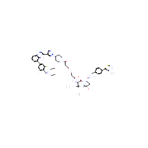 Cc1ncsc1-c1ccc(CNC(=O)[C@@H]2C[C@@H](O)CN2C(=O)C(NC(=O)CCOCCC(=O)N2CCC(n3cc(-c4cnc5cccc(-c6cc(F)c(CN7CCOCC7)c(F)c6)c5n4)cn3)CC2)C(C)(C)C)cc1